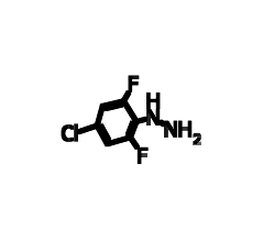 NNc1c(F)cc(Cl)cc1F